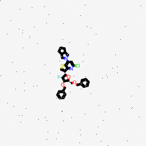 F[C@H]1[C@H](OCc2ccccc2)[C@@H](COCc2ccccc2)O[C@H]1c1csc2c(N3CC4CCCC4C3)cc(Cl)nc12